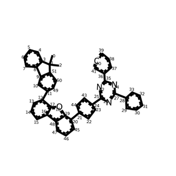 CC1(C)c2ccccc2-c2cc(-c3cccc4c3oc3c(-c5ccc(-c6nc(-c7ccccc7)nc(-c7ccccc7)n6)cc5)cccc34)ccc21